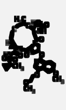 COCCOc1cnc(O[C@@H]2C[C@H]3C(=O)N[C@]4(C(=O)NS(=O)(=O)C5(C)CC5)C[C@H]4/C=C\CC[C@@H](C)C[C@@H](C)[C@H](NC(=O)O)C(=O)N3C2)c2ccc(OC)cc12